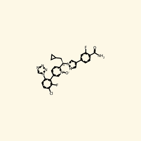 NC(=O)c1ccc(-c2cnn([C@H](CC3CC3)c3ccc(-c4c(-n5cnnn5)ccc(Cl)c4F)c[n+]3[O-])c2)cc1F